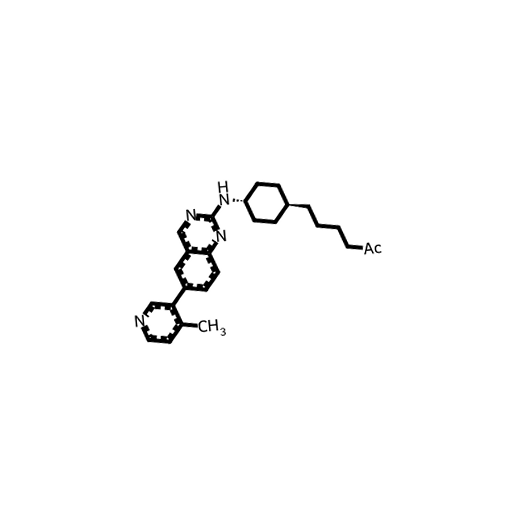 CC(=O)CCCC[C@H]1CC[C@H](Nc2ncc3cc(-c4cnccc4C)ccc3n2)CC1